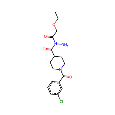 CCOCC(=O)N(N)C(=O)C1CCN(C(=O)c2cccc(Cl)c2)CC1